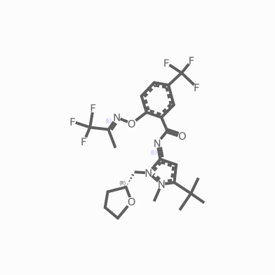 C/C(=N\Oc1ccc(C(F)(F)F)cc1C(=O)/N=c1\cc(C(C)(C)C)n(C)n1C[C@H]1CCCO1)C(F)(F)F